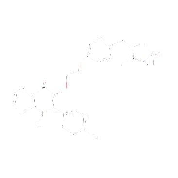 Cn1c(-c2ccc(Br)cc2)c(OCCOc2ccc(C=C3SC(=O)NC3=O)cc2)c(=O)c2ccccc21